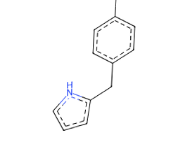 FC(F)(F)c1ccc(Cc2ccc[nH]2)cc1